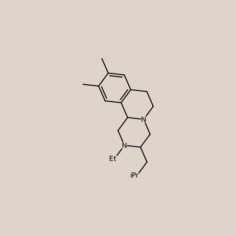 CCN1CC2c3cc(C)c(C)cc3CCN2CC1CC(C)C